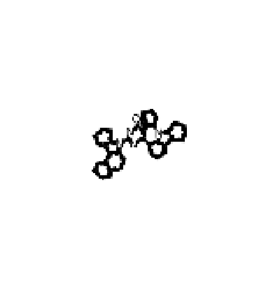 c1ccc(-n2c3ccccc3c3cccc(-c4nc(-n5c6ccccc6c6c7ccccc7ccc65)nc5occc45)c32)cc1